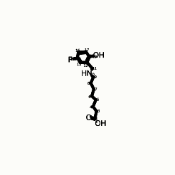 O=C(O)CCCCCCCNCc1cc(F)ccc1O